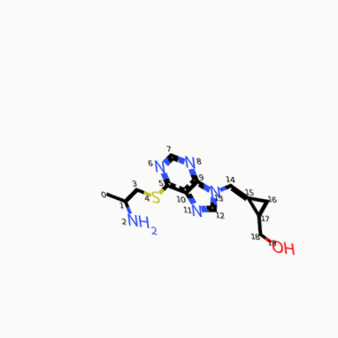 CC(N)CSc1ncnc2c1ncn2C=C1CC1CO